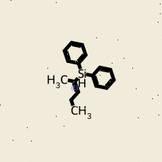 CC/C=C(\C)[SiH](c1ccccc1)c1ccccc1